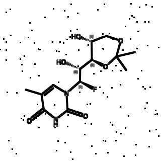 Cc1cn([C@H](F)[C@H](O)[C@@H]2OC(C)(C)OC[C@H]2O)c(=O)[nH]c1=O